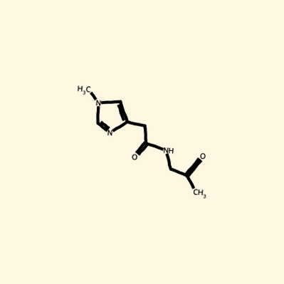 CC(=O)CNC(=O)Cc1cn(C)cn1